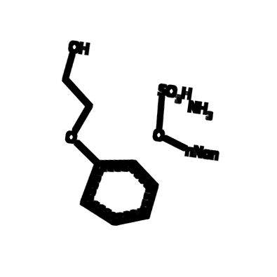 CCCCCCCCCOS(=O)(=O)O.N.OCCOc1ccccc1